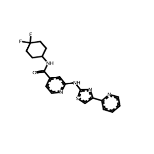 O=C(NC1CCC(F)(F)CC1)c1ccnc(Nc2nc(-c3ccccn3)cs2)c1